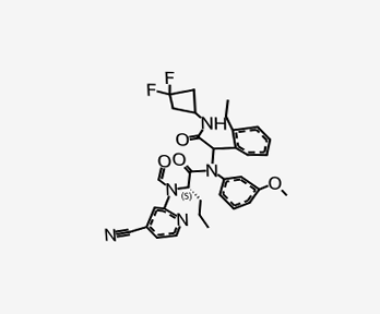 CCC[C@@H](C(=O)N(c1cccc(OC)c1)C(C(=O)NC1CC(F)(F)C1)c1ccccc1CC)N(C=O)c1cc(C#N)ccn1